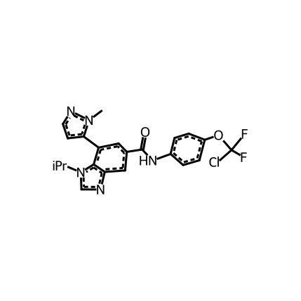 CC(C)n1cnc2cc(C(=O)Nc3ccc(OC(F)(F)Cl)cc3)cc(-c3ccnn3C)c21